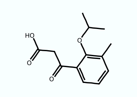 Cc1cccc(C(=O)CC(=O)O)c1OC(C)C